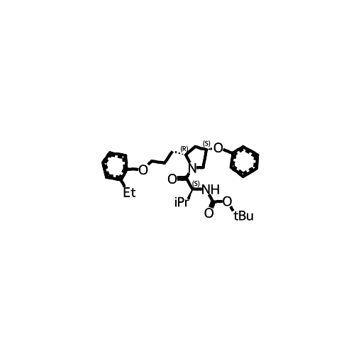 CCc1ccccc1OCCC[C@@H]1C[C@H](Oc2ccccc2)CN1C(=O)[C@@H](NC(=O)OC(C)(C)C)C(C)C